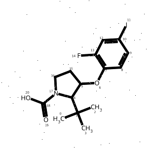 CC(C)(C)C1C(Oc2ccc(I)cc2F)CCN1C(=O)O